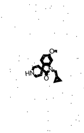 COc1ccc2c(c1)N(CC1CC1)C(=O)C21CCNCC1